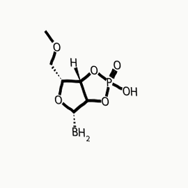 B[C@@H]1O[C@H](COC)[C@@H]2OP(=O)(O)OC12